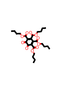 CCCCOC(=O)C1=C(C(=O)OCCCC)C(C(=O)OCCCC)=C(C(=O)OCCCC)C(=O)C1=O